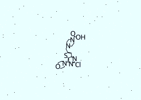 O=C(O)N1CCN(Cc2cc3nc(Cl)nc(N4CCOCC4)c3s2)CC1